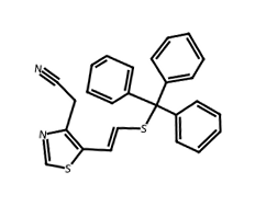 N#CCc1ncsc1C=CSC(c1ccccc1)(c1ccccc1)c1ccccc1